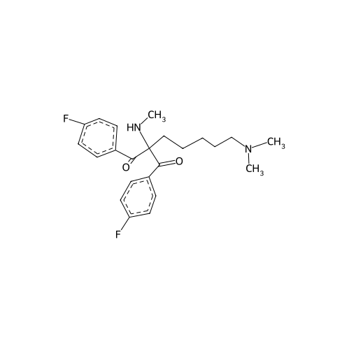 CNC(CCCCCN(C)C)(C(=O)c1ccc(F)cc1)C(=O)c1ccc(F)cc1